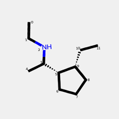 CCNC(C)[C@H]1CCC[C@H]1CC